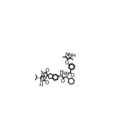 CNC(=O)C1(N2C[C@@H](C(C)C)NC2=O)Cc2ccc(NC(=O)[C@@H](NC(=O)c3cccc(Oc4c(C)n[nH]c4C)c3)C3CCCCC3)cc2C1